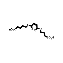 CCCCCCCCCCCCCCOC(=O)/C=C\C(=O)OCCCS(=O)(=O)O